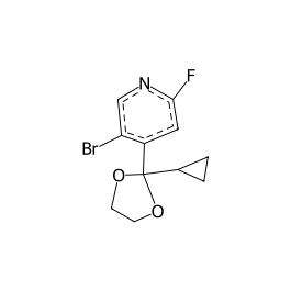 Fc1cc(C2(C3CC3)OCCO2)c(Br)cn1